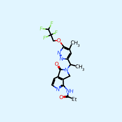 CCC(=O)Nc1nccc2c1CN(C(C)c1cc(C)c(OCC(F)(F)C(F)F)nn1)C2=O